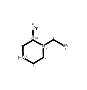 CC(C)CN1CCNC[C@H]1C(C)C